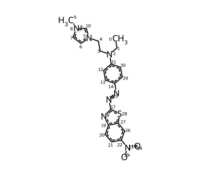 CCN(CCn1cc[n+](C)c1)c1ccc(N=Nc2nc3ccc([N+](=O)[O-])cc3s2)cc1